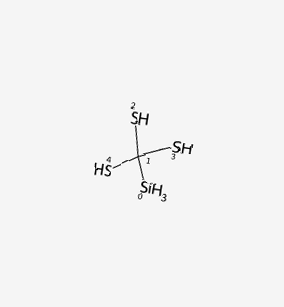 [SiH3]C(S)(S)S